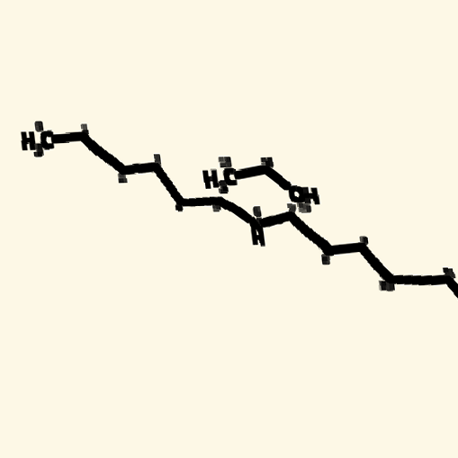 CCCCCCNCCCCCC.CCO